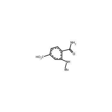 CCC(C)Nc1cc(C(=O)O)ccc1C(N)=O